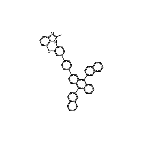 Cc1nc2cccc3c2n1-c1ccc(-c2ccc(-c4ccc5c(-c6ccc7ccccc7c6)c6ccccc6c(-c6ccc7ccccc7c6)c5c4)cc2)cc1S3